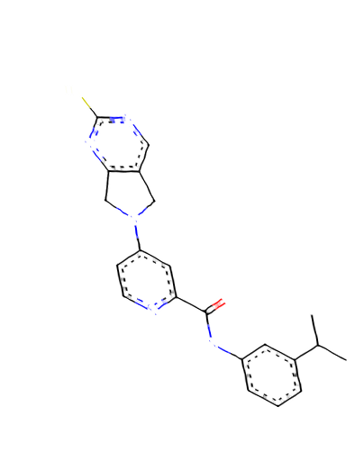 CC(C)c1cccc(NC(=O)c2cc(N3Cc4cnc(S)nc4C3)ccn2)c1